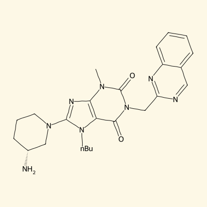 CCCCn1c(N2CCC[C@@H](N)C2)nc2c1c(=O)n(Cc1ncc3ccccc3n1)c(=O)n2C